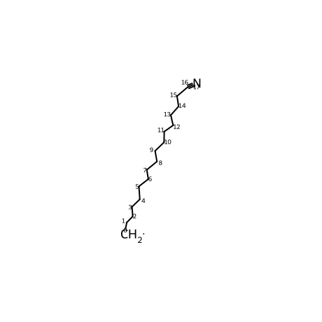 [CH2]CCCCCCCCCCCCCCCC#N